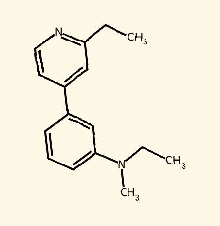 CCc1cc(-c2cccc(N(C)CC)c2)ccn1